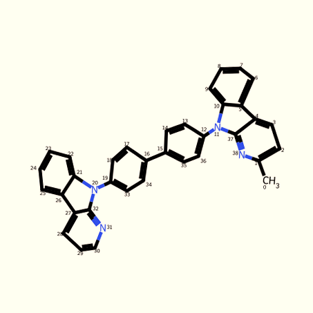 Cc1ccc2c3ccccc3n(-c3ccc(-c4ccc(-n5c6ccccc6c6cccnc65)cc4)cc3)c2n1